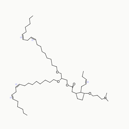 CC/C=C\CC1C(CC(=O)OCC(COCCCCCCCC/C=C\C/C=C\CCCCC)OCCCCCCCC/C=C\C/C=C\CCCCC)CCC1OCCCN(C)C